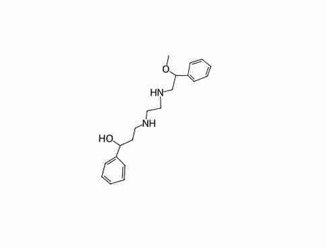 COC(CNCCNCCC(O)c1ccccc1)c1ccccc1